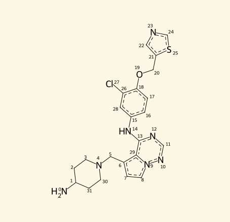 NC1CCN(Cc2ccn3ncnc(Nc4ccc(OCc5cncs5)c(Cl)c4)c23)CC1